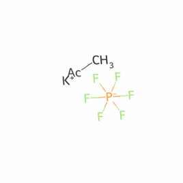 CC(C)=O.F[P-](F)(F)(F)(F)F.[K+]